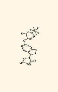 O=C1NC(=O)C([C@@H]2CCc3cc(Oc4ccc(S(F)(F)(F)(F)F)cc4Cl)ccc32)S1